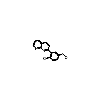 O=Nc1ccc(Cl)c(-c2ccc3cccnc3n2)c1